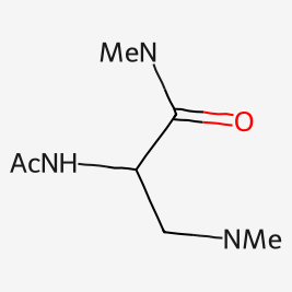 CNCC(NC(C)=O)C(=O)NC